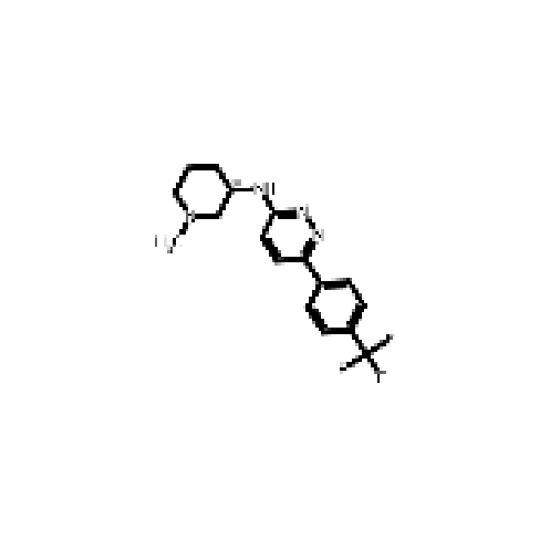 CN1CCC[C@@H](Nc2ccc(-c3ccc(C(F)(F)F)cc3)nn2)C1